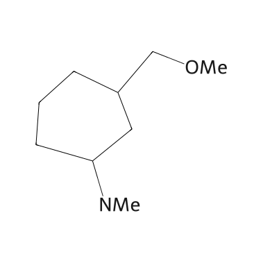 CNC1CCCC(COC)C1